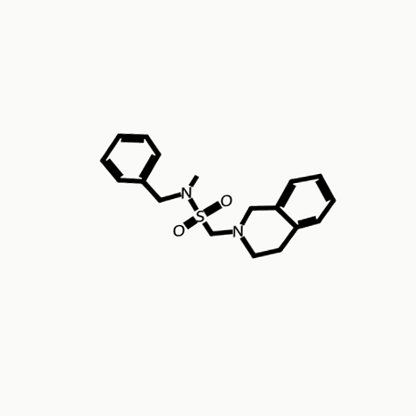 CN(Cc1ccccc1)S(=O)(=O)CN1CCc2ccccc2C1